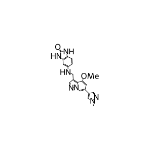 COc1cc(-c2cnn(C)c2)cn2ncc(CNc3ccc4[nH]c(=O)[nH]c4c3)c12